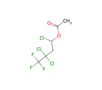 CC(=O)OC(Cl)CC(Cl)(Cl)C(F)(F)F